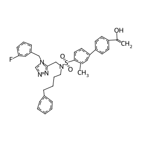 C=C(O)c1ccc(-c2ccc(S(=O)(=O)N(CCCCc3ccccc3)Cc3nncn3Cc3cccc(F)c3)c(C)c2)cc1